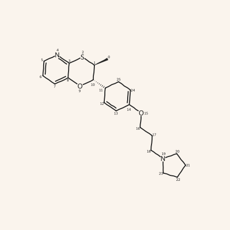 C[C@@H]1Sc2ncccc2O[C@H]1C1C=CC(OCCCN2CCCC2)=CC1